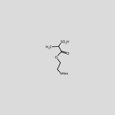 CCCCCCCCOC(=O)C(C)S(=O)(=O)O